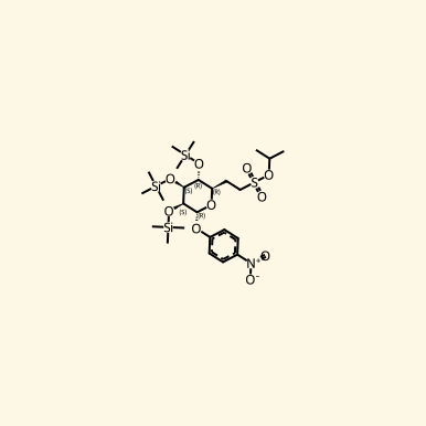 CC(C)OS(=O)(=O)CC[C@H]1O[C@H](Oc2ccc([N+](=O)[O-])cc2)[C@@H](O[Si](C)(C)C)[C@@H](O[Si](C)(C)C)[C@@H]1O[Si](C)(C)C